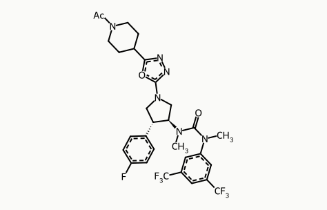 CC(=O)N1CCC(c2nnc(N3C[C@@H](N(C)C(=O)N(C)c4cc(C(F)(F)F)cc(C(F)(F)F)c4)[C@H](c4ccc(F)cc4)C3)o2)CC1